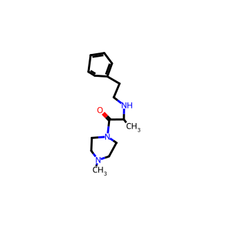 CC(NCCc1ccccc1)C(=O)N1CCN(C)CC1